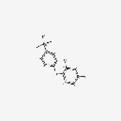 Cc1cnc(Oc2ccc(C(C)(C)C)cc2)c(Cl)c1